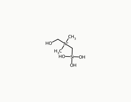 C[N+](C)(CO)C[Si](O)(O)O